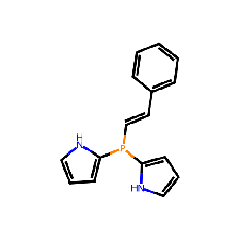 C(=CP(c1ccc[nH]1)c1ccc[nH]1)c1ccccc1